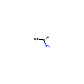 CCN.[Na]